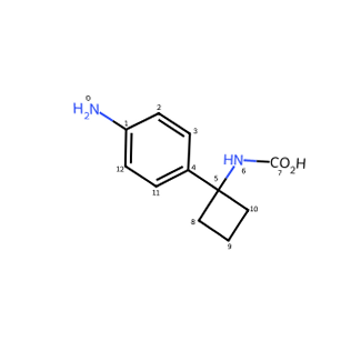 Nc1ccc(C2(NC(=O)O)CCC2)cc1